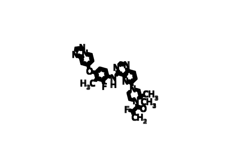 C=C(F)C(=O)N1CCN(c2ccc3ncnc(Nc4ccc(Oc5ccn6ncnc6c5)c(C)c4F)c3n2)CC1(C)C